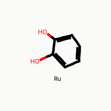 Oc1ccccc1O.[Ru]